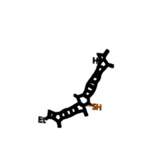 C=C1C2=C(C3=C1[C@H](S)C1=C(C3C)C3c4c(c5c4c4c6c(c54)C4C(=C)C5C(=C)C[C@H]5C64)C13)C1C3=C(C4C(=C)C5=C(C=C5CC)C34)C21